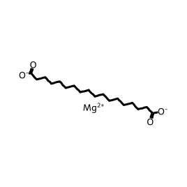 O=C([O-])CCCCCCCCCCCCCCCCC(=O)[O-].[Mg+2]